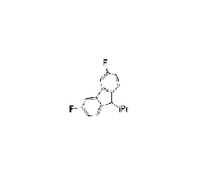 CC(C)C1c2ccc(F)cc2-c2cc(F)ccc21